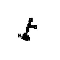 Cc1cc2c(cc1OCCCCCN1CCN(CCCn3c4ccc(-c5ccc(Cl)cc5)cc4c4cc(-c5ccc(Cl)cc5)ccc43)CC1)N=C[C@@H]1CCCN1C2=O